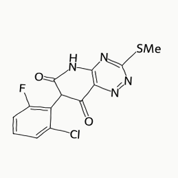 CSc1nnc2c(n1)NC(=O)C(c1c(F)cccc1Cl)C2=O